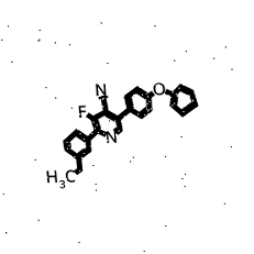 CCc1cccc(-c2ncc(-c3ccc(Oc4ccccc4)cc3)c(C#N)c2F)c1